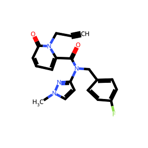 C#CCn1c(C(=O)N(Cc2ccc(F)cc2)c2ccn(C)n2)cccc1=O